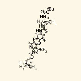 CC(C)(CNC(=O)OC(C)(C)C)CNC(=S)Nc1cc(F)c(Oc2ccnc3c2c(C(F)(F)F)cn3COCC[Si](C)(C)C)c(F)c1